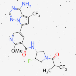 COc1ncc(-c2cc(C(F)(F)F)c3c(N)ncnn23)cc1C(=O)N[C@@H]1CN(C(=O)C(C)C(F)(F)F)C[C@@H]1F